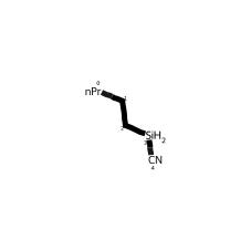 CCCCC[SiH2]C#N